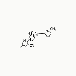 Cc1cccc(C#C[C@H]2CC[C@H]3CN(c4ncc(F)cc4C#N)CCN32)n1